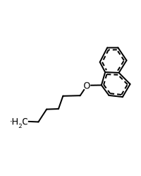 [CH2]CCCCCOc1cccc2ccccc12